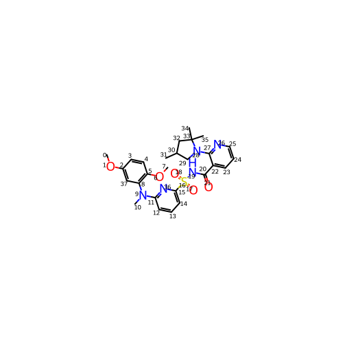 COc1ccc(OC)c(N(C)c2cccc(S(=O)(=O)NC(=O)c3cccnc3N3CC(C)CC3(C)C)n2)c1